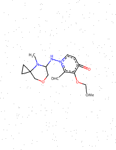 COCOc1c(C=O)n(NC2COCC3(CC3)N2C)ccc1=O